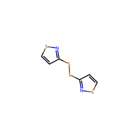 c1cc(SSc2ccsn2)ns1